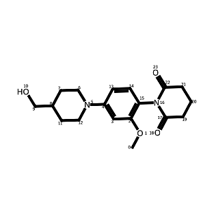 COc1cc(N2CCC(CO)CC2)ccc1N1C(=O)CCCC1=O